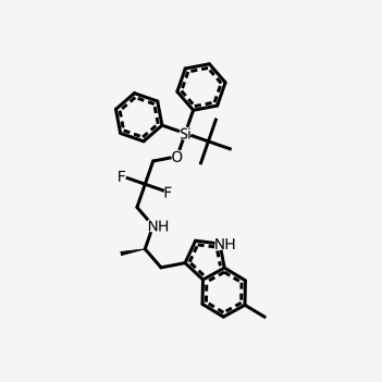 Cc1ccc2c(C[C@@H](C)NCC(F)(F)CO[Si](c3ccccc3)(c3ccccc3)C(C)(C)C)c[nH]c2c1